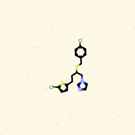 Clc1ccc(CSC(CCc2ccc(Cl)s2)Cn2ccnc2)cc1